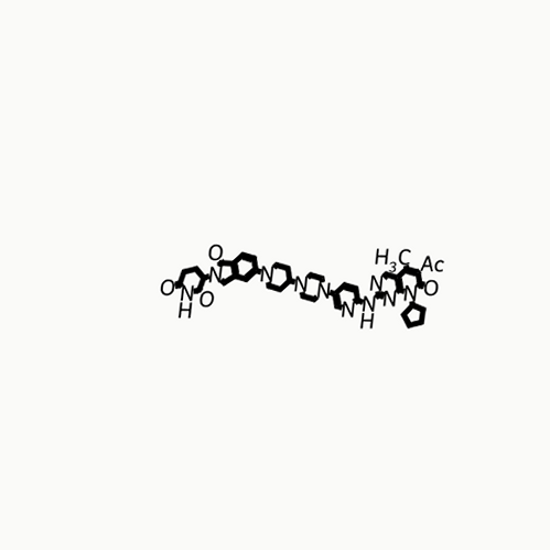 CC(=O)c1c(C)c2cnc(Nc3ccc(N4CCN(C5CCN(c6ccc7c(c6)CN(C6CCC(=O)NC6=O)C7=O)CC5)CC4)cn3)nc2n(C2CCCC2)c1=O